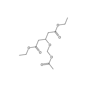 CCOC(=O)CC(CC(=O)OCC)OCOC(C)=O